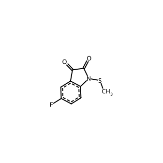 CSN1C(=O)C(=O)c2cc(F)ccc21